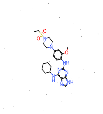 CCS(=O)(=O)N1CCN(c2ccc(Nc3nc(NC4CCCCC4)c4nc[nH]c4n3)c(OC)c2)CC1